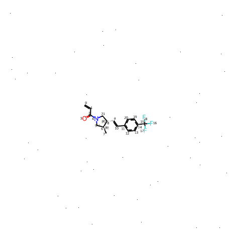 C=CC(=O)N1C[C@H](C)[C@@H](C=Cc2ccc(C(F)(F)F)cc2)C1